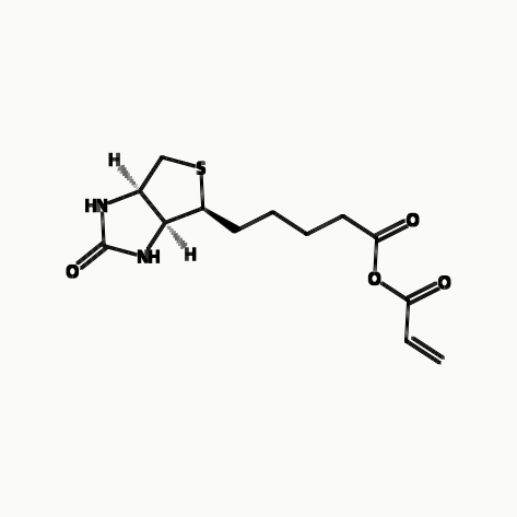 C=CC(=O)OC(=O)CCCC[C@@H]1SC[C@@H]2NC(=O)N[C@@H]21